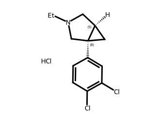 CCN1C[C@H]2C[C@@]2(c2ccc(Cl)c(Cl)c2)C1.Cl